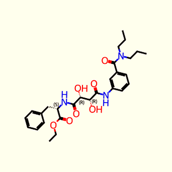 CCCN(CCC)C(=O)c1cccc(NC(=O)[C@H](O)[C@@H](O)C(=O)N[C@@H](Cc2ccccc2)C(=O)OCC)c1